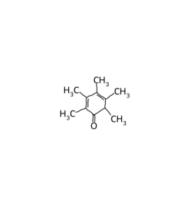 CC1=C(C)C(C)=C(C)C(C)C1=O